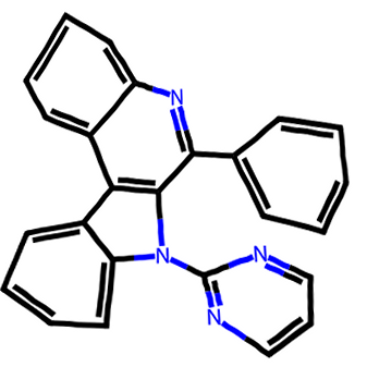 c1ccc(-c2nc3ccccc3c3c4ccccc4n(-c4ncccn4)c23)cc1